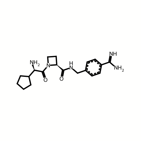 N=C(N)c1ccc(CNC(=O)[C@@H]2CCN2C(=O)[C@H](N)C2CCCC2)cc1